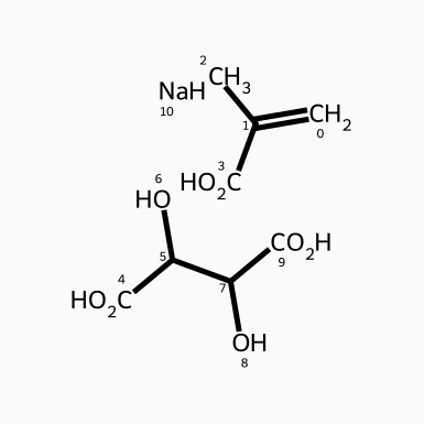 C=C(C)C(=O)O.O=C(O)C(O)C(O)C(=O)O.[NaH]